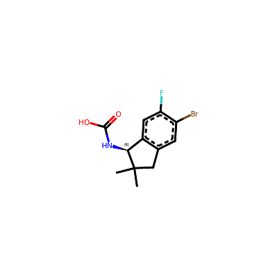 CC1(C)Cc2cc(Br)c(F)cc2[C@@H]1NC(=O)O